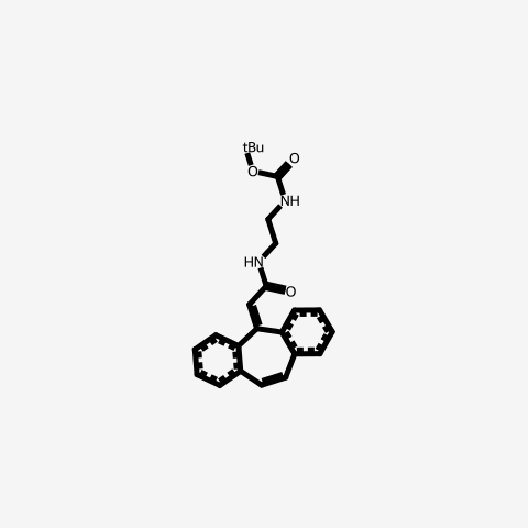 CC(C)(C)OC(=O)NCCNC(=O)C=C1c2ccccc2C=Cc2ccccc21